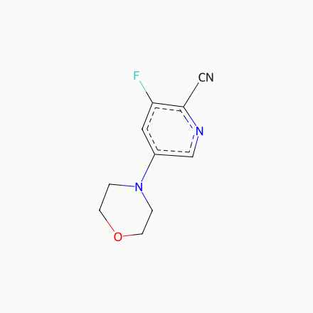 N#Cc1ncc(N2CCOCC2)cc1F